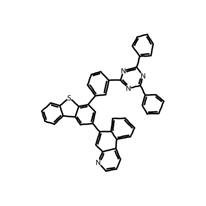 c1ccc(-c2nc(-c3ccccc3)nc(-c3cccc(-c4cc(-c5cc6ncccc6c6ccccc56)cc5c4sc4ccccc45)c3)n2)cc1